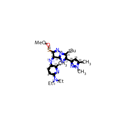 CCN(CC)c1ccc(/N=C2/C(SOOC)=Nn3c2nc(-c2cc(C)n(C)n2)c3C(C)(C)C)c(C)n1